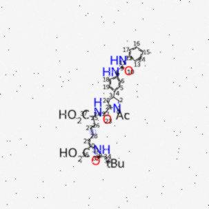 CC(=O)N1CC(c2ccc(NC(=O)Nc3ccccc3)cc2)CC1C(=O)NC(C/C=C/CC(NC(=O)CC(C)(C)C)C(=O)O)C(=O)O